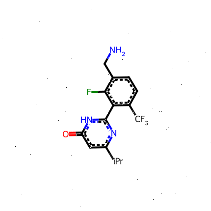 CC(C)c1cc(=O)[nH]c(-c2c(C(F)(F)F)ccc(CN)c2F)n1